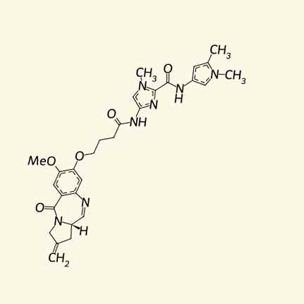 C=C1C[C@H]2C=Nc3cc(OCCCC(=O)Nc4cn(C)c(C(=O)Nc5cc(C)n(C)c5)n4)c(OC)cc3C(=O)N2C1